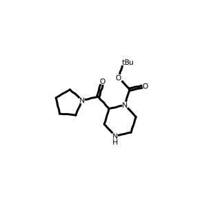 CC(C)(C)OC(=O)N1CCNCC1C(=O)N1CCCC1